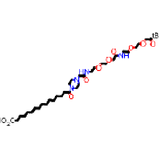 CC(C)(C)C(=O)COCCOCCNC(=O)COCCOCCNC(=O)CN1CCN(C(=O)CCCCCCCCCCCCCCC(=O)O)CC1